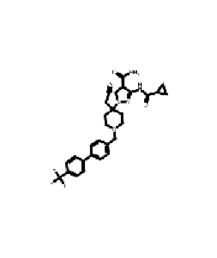 N#CCC1(N2CC(C(N)=O)C(NC(=O)C3CC3)=N2)CCN(Cc2ccc(-c3ccc(C(F)(F)F)cc3)cc2)CC1